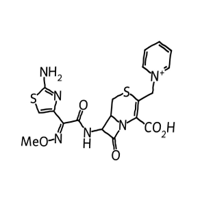 CON=C(C(=O)NC1C(=O)N2C(C(=O)O)=C(C[n+]3ccccc3)SCC12)c1csc(N)n1